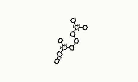 c1ccc(-c2nc(-c3cccc(-c4cccc(-c5cccc(-c6nc(-c7ccccc7)nc(-c7ccccc7)n6)c5)c4)c3)cc(-c3ccc4c(c3)sc3ccccc34)n2)cc1